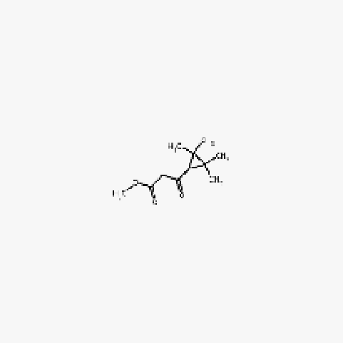 COC(=O)CC(=O)C1C(C)(C)C1(C)C